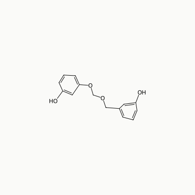 Oc1cccc(COCOc2cccc(O)c2)c1